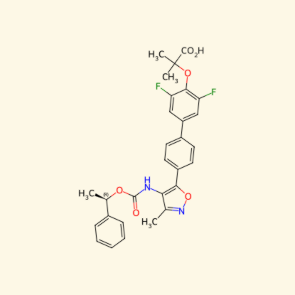 Cc1noc(-c2ccc(-c3cc(F)c(OC(C)(C)C(=O)O)c(F)c3)cc2)c1NC(=O)O[C@H](C)c1ccccc1